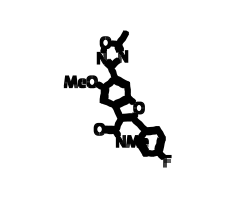 CNC(=O)c1c(-c2ccc(F)cc2)oc2cc(-c3noc(C)n3)c(OC)cc12